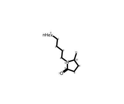 CCCCCCCCCCN1C(=O)CCC1C